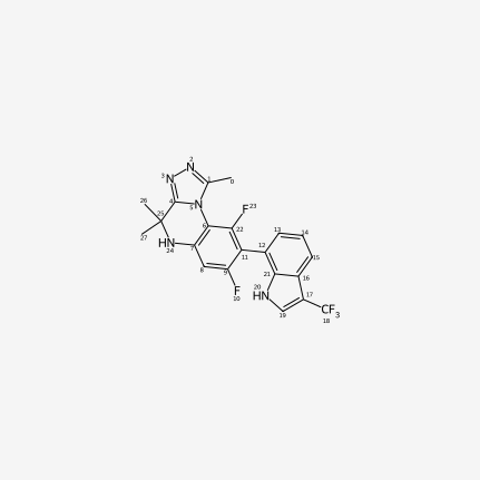 Cc1nnc2n1-c1c(cc(F)c(-c3cccc4c(C(F)(F)F)c[nH]c34)c1F)NC2(C)C